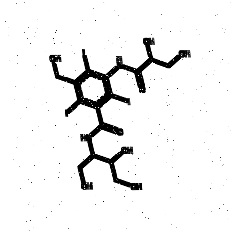 O=C(NC(CO)C(O)CO)c1c(I)c(CO)c(I)c(NC(=O)C(O)CO)c1I